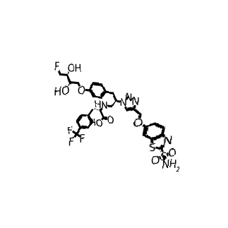 NS(=O)(=O)c1nc2ccc(OCc3cn([C@@H](CN[C@@H](Cc4ccc(C(F)(F)F)cc4)C(=O)O)Cc4ccc(OC[C@H](O)[C@@H](O)CF)cc4)nn3)cc2s1